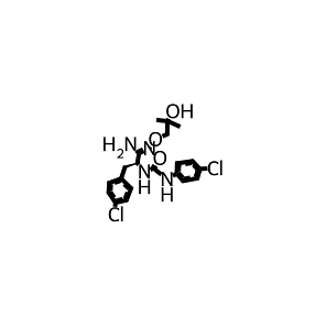 CC(C)(O)CO/N=C(\N)[C@H](Cc1ccc(Cl)cc1)NC(=O)Nc1ccc(Cl)cc1